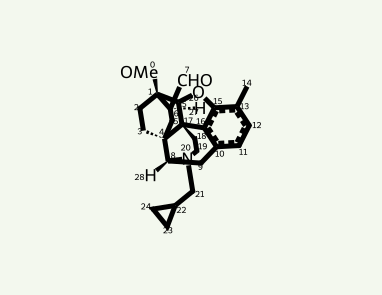 CO[C@]12CC[C@@]3(C[C@@H]1C=O)[C@H]1Cc4ccc(C)c5c4[C@@]3(CCN1CC1CC1)C2O5